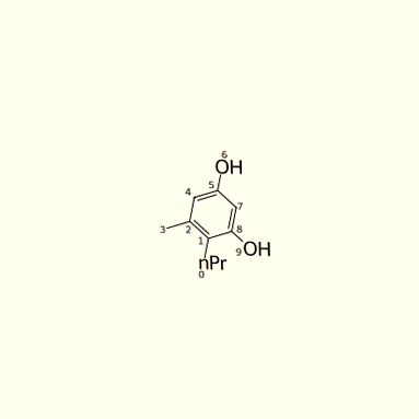 CCCc1c(C)cc(O)cc1O